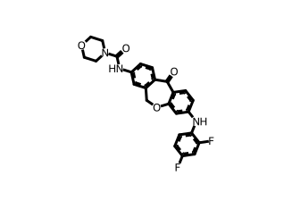 O=C1c2ccc(NC(=O)N3CCOCC3)cc2COc2cc(Nc3ccc(F)cc3F)ccc21